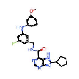 COc1cccc(Nc2cc(F)cc(CNC(=O)c3ncnc4nc(C5CCCC5)[nH]c34)c2)c1